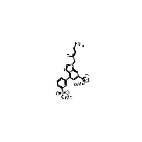 CNS(=O)(=O)c1cccc(-c2cc(C(=O)OC)cc3c2ncn3C/C(F)=C/CN)c1.Cl